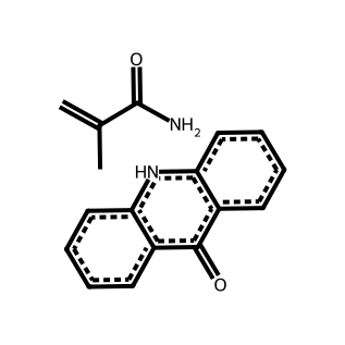 C=C(C)C(N)=O.O=c1c2ccccc2[nH]c2ccccc12